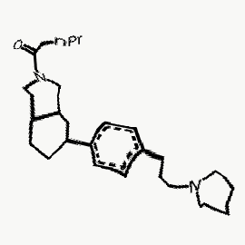 CCCC(=O)N1CC2CCC(c3ccc(CCN4CCCC4)cc3)C2C1